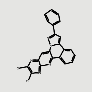 Clc1nc2cc3c(nc2nc1Cl)c1ccccc1c1cc(-c2ccccc2)nn13